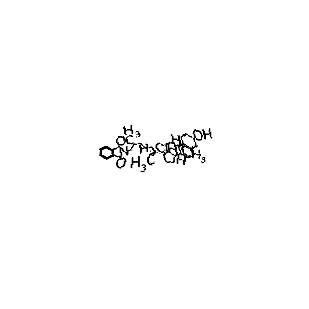 CC(CCCC(C)[C@H]1CC[C@H]2[C@@H]3CC=C4C[C@@H](O)CC[C@]4(C)[C@H]3CC[C@]12C)CN1C(=O)c2ccccc2C1=O